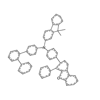 CC1(C)c2ccccc2-c2ccc(N(c3ccc(-c4ccccc4-c4ccccc4)cc3)c3ccc(-c4ccc5c(oc6ccccc65)c4-c4ccccc4)cc3)cc21